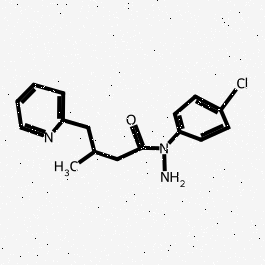 CC(CC(=O)N(N)c1ccc(Cl)cc1)Cc1ccccn1